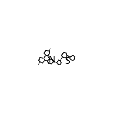 Cc1ccc2c(c1)c1ccc(-c3cccc(-c4cccc5c4sc4ccccc45)c3)nc1c1cc(C)ccc21